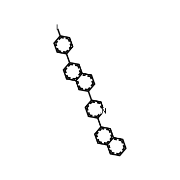 Ic1ccc(-c2ccc3cc(-c4ccc(-c5ccc6ccccc6c5)nc4)ccc3c2)cc1